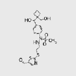 CS(=O)(=O)N(NCCSc1ncc(C=O)s1)c1ccc(C(O)C2(CO)CCC2)cc1